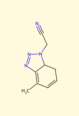 CC1=C2N=NN(CC#N)C2CC=C1